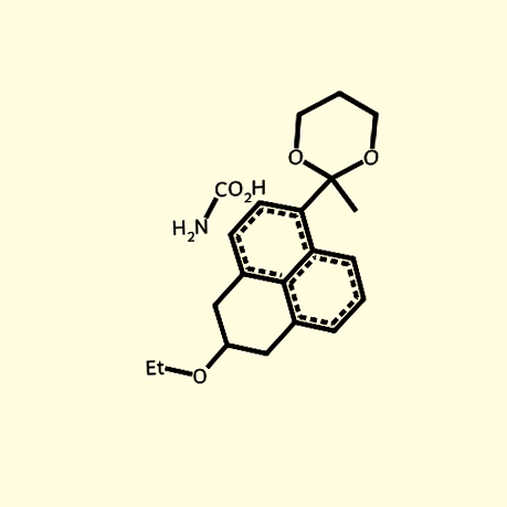 CCOC1Cc2cccc3c(C4(C)OCCCO4)ccc(c23)C1.NC(=O)O